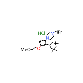 COCCOc1ccc(N2CCN(CC(C)C)CC2)c(C2CC(C)(C)CC(C)(C)C2)c1.Cl